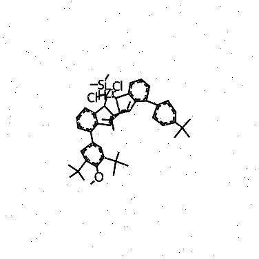 CCC1=Cc2c(-c3cc(C(C)(C)C)c(OC)c(C(C)(C)C)c3)cccc2[CH]1[Zr]([Cl])([Cl])([CH]1C(C(C)C)=Cc2c(-c3ccc(C(C)(C)C)cc3)cccc21)[SiH](C)C